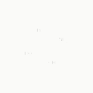 CCC[C@H](N)C(O)O